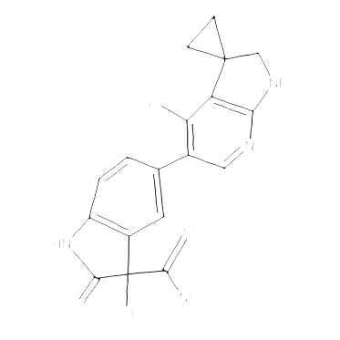 CC1(C(N)=O)C(=O)Nc2ccc(-c3cnc4c(c3Cl)C3(CC3)CN4)cc21